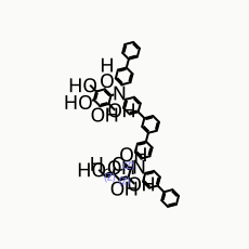 C\C(O)=C(/C(O)=C(O)\C(O)=C\O)N(c1ccc(-c2ccccc2)cc1)c1ccc(-c2cccc(-c3ccc(N(c4ccc(-c5ccccc5)cc4)c4c(O)c(O)c(O)c(O)c4O)cc3)c2)cc1